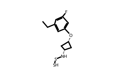 CCc1cc(F)cc(O[C@H]2C[C@@H](NSS)C2)c1